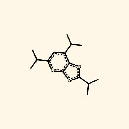 CC(C)c1cc(C(C)C)c2nc(C(C)C)oc2n1